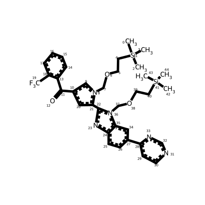 C[Si](C)(C)CCOCn1cc(C(=O)c2ccccc2C(F)(F)F)cc1-c1nc2ccc(-c3ccncn3)cc2n1COCC[Si](C)(C)C